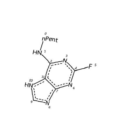 CCCCCNc1nc(F)nc2nc[nH]c12